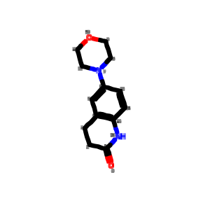 O=C1CCc2cc(N3CCOCC3)ccc2N1